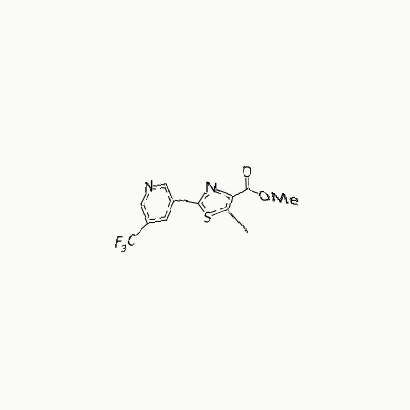 COC(=O)c1nc(-c2cncc(C(F)(F)F)c2)sc1C